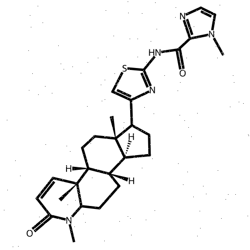 CN1C(=O)C=C[C@@]2(C)C1CC[C@@H]1[C@H]2CC[C@]2(C)C(c3csc(NC(=O)c4nccn4C)n3)CC[C@@H]12